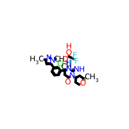 Cc1cc(-c2cccc([C@]3(C)CC(=O)N([C@H]4CCO[C@@H](C)C4)C(=N)N3)c2Cl)n(C)n1.O=C(O)C(F)(F)F